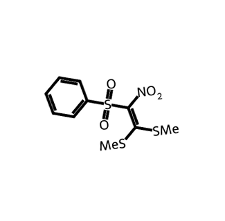 CSC(SC)=C([N+](=O)[O-])S(=O)(=O)c1ccccc1